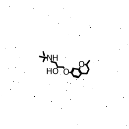 CC1CCc2ccc(OCC(O)CCNC(C)(C)C)cc2O1